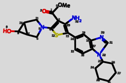 COC(=O)c1c(N2CC3C(O)C3C2)sc(-c2ccc3c(c2)ncn3C2CCCCC2)c1N